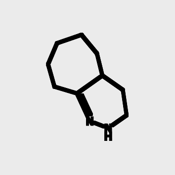 C1CCC2=NNCCC2CC1